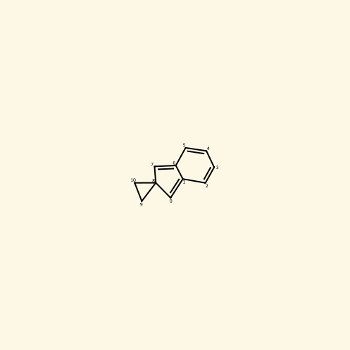 C1=c2ccccc2=CC12CC2